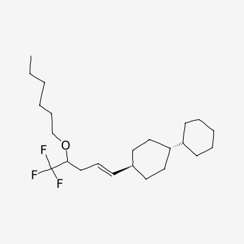 CCCCCCOC(CC=C[C@H]1CC[C@H](C2CCCCC2)CC1)C(F)(F)F